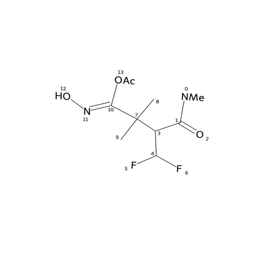 CNC(=O)C(C(F)F)C(C)(C)C(=NO)OC(C)=O